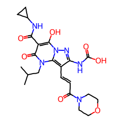 CC(C)Cn1c(=O)c(C(=O)NC2CC2)c(O)n2nc(NC(=O)O)c(C=CC(=O)N3CCOCC3)c12